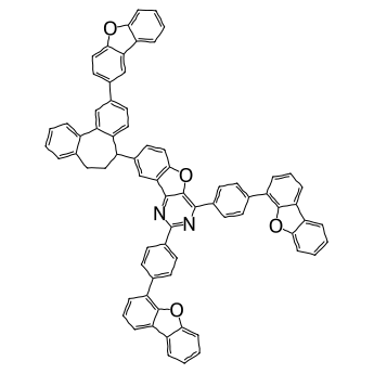 c1ccc2c(c1)CCC(c1ccc3oc4c(-c5ccc(-c6cccc7c6oc6ccccc67)cc5)nc(-c5ccc(-c6cccc7c6oc6ccccc67)cc5)nc4c3c1)c1ccc(-c3ccc4oc5ccccc5c4c3)cc1-2